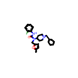 Cc1ccc(CN(C(=O)Nc2ccccc2F)C2CCN(Cc3ccccc3)CC2)o1